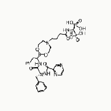 CC(C)CC(NC(=O)[C@@H](Cc1ccccc1)NC(=O)c1cnccn1)B1OCCN(CCCC(=O)NC(P(=O)(O)O)P(=O)(O)O)CCO1